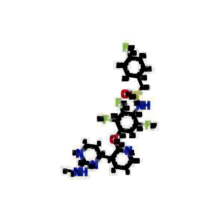 CNc1nccc(-c2cccnc2Oc2cc(F)c(N[S+]([O-])Cc3ccc(F)cc3)c(F)c2F)n1